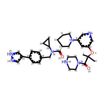 CC(C)(Oc1cncc(N2CCC[C@@H](C(=O)N(Cc3ccc(-c4cn[nH]c4)cc3)C3CC3)C2)c1)C(=O)N1CCNCC1